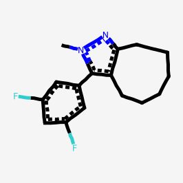 Cn1nc2c(c1-c1cc(F)cc(F)c1)CCCCCC2